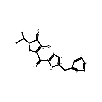 CC(C)N1CC(C(=O)c2ccc(Cc3ccccc3)o2)=C(O)C1=O